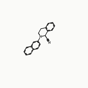 N#CC1c2ccccc2CCN1c1ccc2ccccc2c1